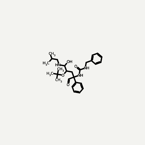 CC(C)CNC(O)C(CC(C=O)(NC(=O)NCc1ccccc1)c1ccccc1)OC(C)(C)C